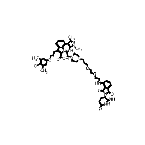 Cc1cc(OCCCc2c(C(=O)O)n(CCN3CCN(CCCOCCOCCNc4cccc5c4C(=O)N(C4CCC(=O)NC4=N)C5=O)CC3)c3c(-c4c(C)nn(C)c4C)cccc23)cc(C)c1Cl